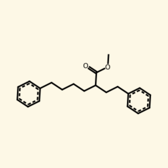 COC(=O)C(CCCCc1ccccc1)CCc1ccccc1